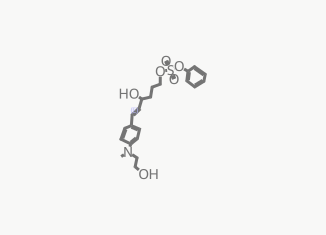 CN(CCO)c1ccc(/C=C/C(O)CCCOS(=O)(=O)Oc2ccccc2)cc1